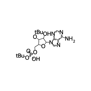 CC(C)(C)OC1C(COP(=O)(O)OC(C)(C)C)OC(n2cnc3c(N)ncnc32)C1O